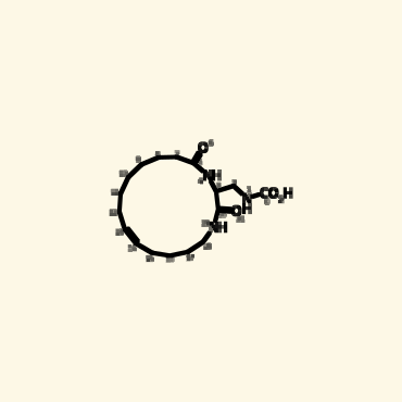 O=C(O)NCC1NC(=O)CCCCCCC=CCCCCNC1=O